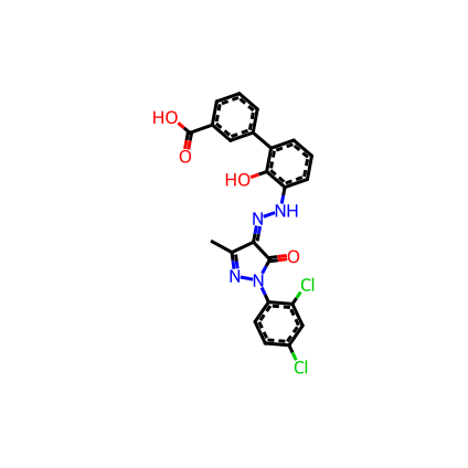 CC1=NN(c2ccc(Cl)cc2Cl)C(=O)C1=NNc1cccc(-c2cccc(C(=O)O)c2)c1O